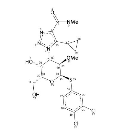 CNC(=O)c1nnn([C@H]2[C@@H](O)[C@@H](CO)O[C@H](Sc3ccc(Cl)c(Cl)c3)[C@@H]2OC)c1C1CC1